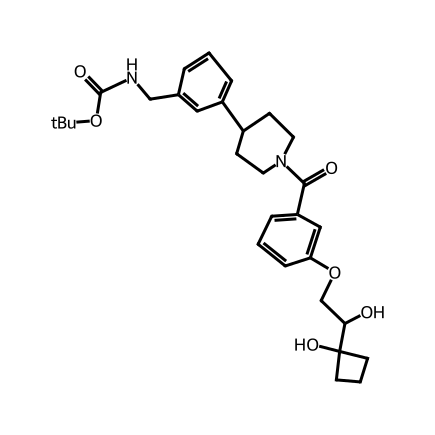 CC(C)(C)OC(=O)NCc1cccc(C2CCN(C(=O)c3cccc(OCC(O)C4(O)CCC4)c3)CC2)c1